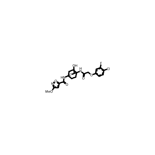 COc1cc(C(=O)NC23CCC(NC(=O)COc4ccc(Cl)c(F)c4)(CC2)C(O)C3)on1